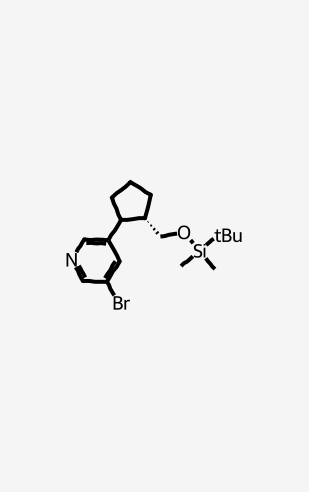 CC(C)(C)[Si](C)(C)OC[C@H]1CCCC1c1cncc(Br)c1